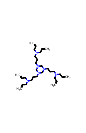 C=CCN(CC=C)CCCN1CN(CCCN(CC=C)CC=C)CN(CCCN(CC=C)CC=C)C1